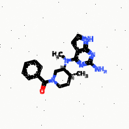 C[C@@H]1CCN(C(=O)c2ccccc2)C[C@@H]1N(C)c1nc(N)nc2[nH]ccc12